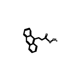 COC(=O)CCc1c2ccccc2cc2ccccc12